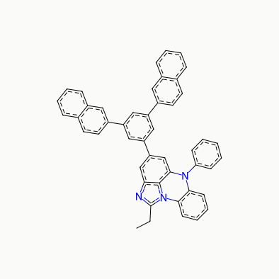 CCc1nc2cc(-c3cc(-c4ccc5ccccc5c4)cc(-c4ccc5ccccc5c4)c3)cc3c2n1-c1ccccc1N3c1ccccc1